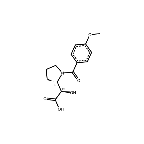 COc1ccc(C(=O)N2CCC[C@H]2[C@@H](O)C(=O)O)cc1